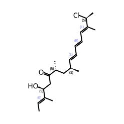 C/C=C(\C)[C@@H](O)CC(=O)[C@H](C)C[C@H](C)/C=C/C=C/C=C(\C)[C@H](C)Cl